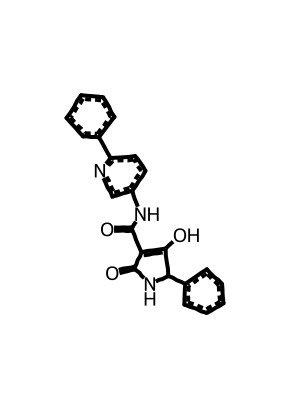 O=C(Nc1ccc(-c2ccccc2)nc1)C1=C(O)C(c2ccccc2)NC1=O